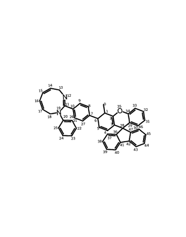 CC1C2=C(C=CC1c1ccc(/C3=N/C/C=C\C=C/CN3c3ccccc3)cc1)C1(c3ccccc3O2)c2ccccc2-c2ccccc21